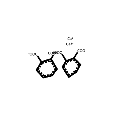 O=C([O-])c1ccccc1C(=O)[O-].O=C([O-])c1ccccc1C(=O)[O-].[Ca+2].[Ca+2]